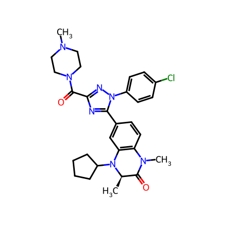 C[C@@H]1C(=O)N(C)c2ccc(-c3nc(C(=O)N4CCN(C)CC4)nn3-c3ccc(Cl)cc3)cc2N1C1CCCC1